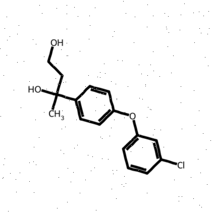 CC(O)(CCO)c1ccc(Oc2cccc(Cl)c2)cc1